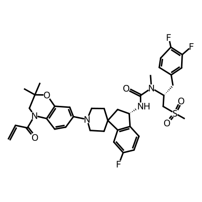 C=CC(=O)N1CC(C)(C)Oc2cc(N3CCC4(CC3)C[C@H](NC(=O)N(C)[C@H](Cc3ccc(F)c(F)c3)CS(C)(=O)=O)c3ccc(F)cc34)ccc21